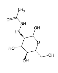 CC(=O)NN[C@H]1C(O)O[C@H](CO)[C@@H](O)[C@@H]1O